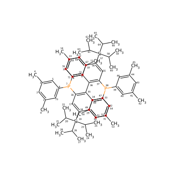 Cc1cc(C)cc(P(c2cc(C)cc(C)c2)c2cc([Si](C(C)C)(C(C)C)C(C)C)c3ccccc3c2-c2c(P(c3cc(C)cc(C)c3)c3cc(C)cc(C)c3)cc([Si](C(C)C)(C(C)C)C(C)C)c3ccccc23)c1